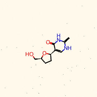 C=C1NC=C([C@H]2CC[C@@H](CO)O2)C(=O)N1